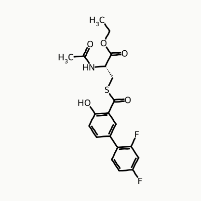 CCOC(=O)[C@H](CSC(=O)c1cc(-c2ccc(F)cc2F)ccc1O)NC(C)=O